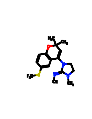 CN1CCN(C2=CC(C)(C)Oc3ccc(SC(F)(F)F)cc32)C1=NC#N